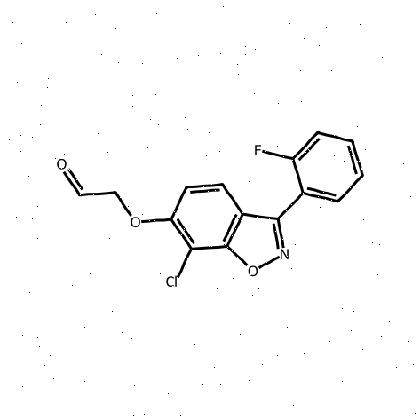 O=CCOc1ccc2c(-c3ccccc3F)noc2c1Cl